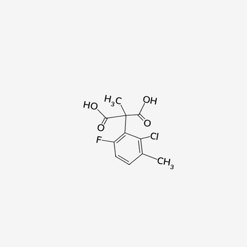 Cc1ccc(F)c(C(C)(C(=O)O)C(=O)O)c1Cl